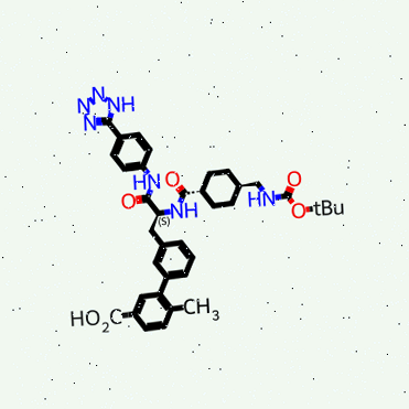 Cc1ccc(C(=O)O)cc1-c1cccc(C[C@H](NC(=O)[C@H]2CC[C@H](CNC(=O)OC(C)(C)C)CC2)C(=O)Nc2ccc(-c3nnn[nH]3)cc2)c1